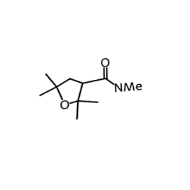 CNC(=O)C1CC(C)(C)OC1(C)C